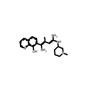 CC(/C=C(\N)NC1CCCN(C)C1)=C(/N)c1ccc2cccnc2c1O